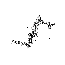 C=CC(=O)OCCCCOC(=O)Oc1ccc(C(=O)Oc2ccc(OC(=O)c3ccc(OC(=O)OCCCCOC(C)=O)cc3)c(C)c2)cc1